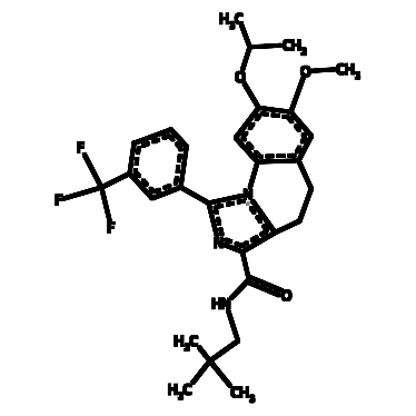 COc1cc2c(cc1OC(C)C)-n1c(-c3cccc(C(F)(F)F)c3)nc(C(=O)NCC(C)(C)C)c1CC2